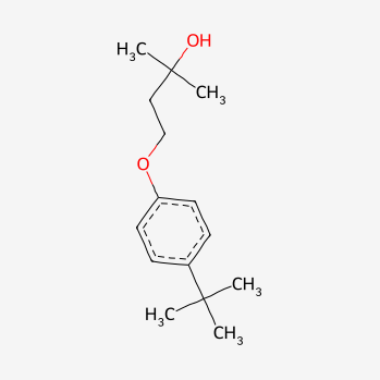 CC(C)(O)CCOc1ccc(C(C)(C)C)cc1